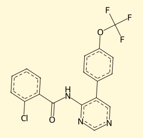 O=C(Nc1ncncc1-c1ccc(OC(F)(F)F)cc1)c1ccccc1Cl